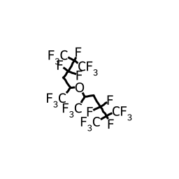 FC(F)(F)C(CC(F)(F)C(F)(C(F)(F)F)C(F)(F)F)OC(CC(F)(F)C(F)(C(F)(F)F)C(F)(F)F)C(F)(F)F